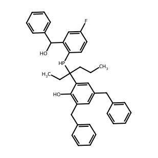 CCCC(CC)(Pc1ccc(F)cc1C(O)c1ccccc1)c1cc(Cc2ccccc2)cc(Cc2ccccc2)c1O